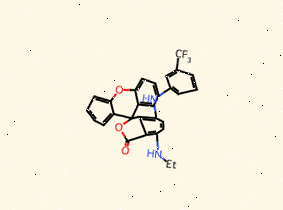 CCNc1ccc(Nc2cccc(C(F)(F)F)c2)c2c1C(=O)OC21c2ccccc2Oc2ccccc21